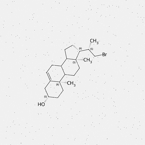 C[C@H](CBr)[C@H]1CCC2C3CC=C4C[C@@H](O)CC[C@]4(C)C3CC[C@@]21C